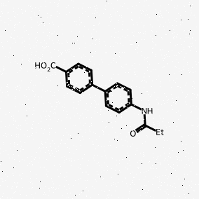 CCC(=O)Nc1ccc(-c2ccc(C(=O)O)cc2)cc1